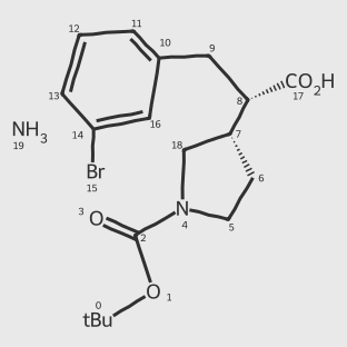 CC(C)(C)OC(=O)N1CC[C@@H]([C@H](Cc2cccc(Br)c2)C(=O)O)C1.N